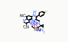 CC(C)(C)CNc1c(C#N)cnc2c(C#N)cc(N[C@H](C3=CN(C4(C(N)=O)CC4)NN3)c3ccc(F)cc3)cc12